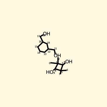 CC1(C)C(O)C(C)(C)C1O.OCC1CCCC(CO)C1